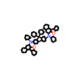 c1ccc(N(c2ccc3c(c2)C(c2ccccc2)(c2ccccc2)c2cc(N(c4ccccc4)c4cc5ccccc5c5c4oc4ccccc45)ccc2-3)c2cc3ccccc3c3c2oc2ccccc23)cc1